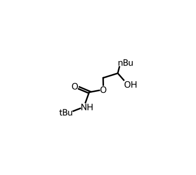 CCCCC(O)COC(=O)NC(C)(C)C